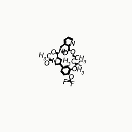 CCOC(=O)c1ncccc1CNC(=O)[C@H]1CC(c2ccc(OC(F)F)c(OC(C)C)c2)CN1C(C)=O